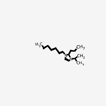 CCCCCCCN1C=CN(C(C)C)C1CCC